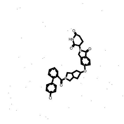 O=C1CCC(N2Cc3cc(OC4CC5CN(C(=O)c6ccccc6-c6ccc(Cl)cc6)CC5C4)ccc3C2=O)C(=O)N1